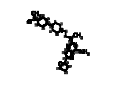 CN(CCN1CCN(c2ccc([S+](C)[O-])cc2)CC1)c1nc(N)n2nc(-c3ccco3)cc2n1